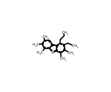 CCCc1c(CC)c(C)c(C)c2sc3c(C)c(C)c(C)cc3c12